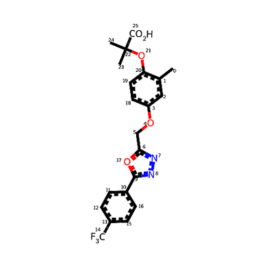 Cc1cc(OCc2nnc(-c3ccc(C(F)(F)F)cc3)o2)ccc1OC(C)(C)C(=O)O